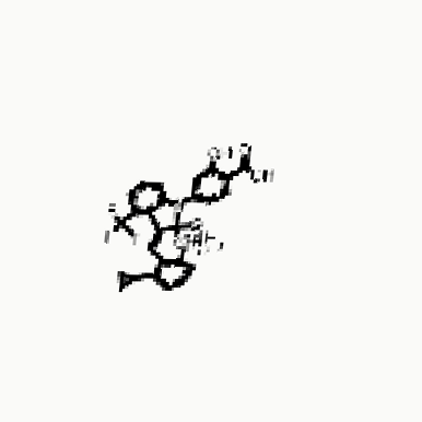 COC1(C)/C(=C\c2c(C)cccc2C2CC2)c2c(cccc2C(F)(F)F)N1c1ccc(C(=O)O)c(O)c1